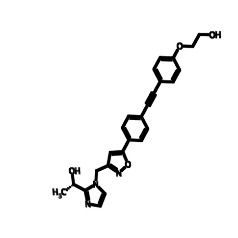 C[C@H](O)c1nccn1Cc1cc(-c2ccc(C#Cc3ccc(OCCO)cc3)cc2)on1